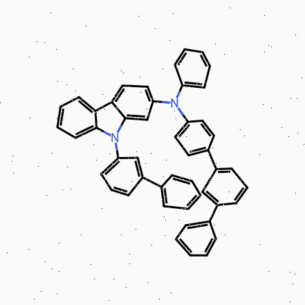 c1ccc(-c2cccc(-c3ccc(N(c4ccccc4)c4ccc5c6ccccc6n(-c6cccc(-c7ccccc7)c6)c5c4)cc3)c2)cc1